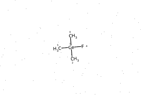 [CH3][Ge]([CH3])([CH3])[F]